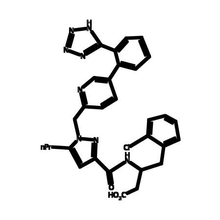 CCCc1cc(C(=O)NC(CC(=O)O)Cc2ccccc2Cl)nn1Cc1ccc(-c2ccccc2-c2nnn[nH]2)cn1